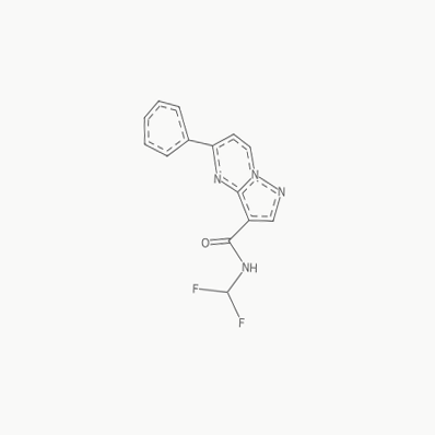 O=C(NC(F)F)c1cnn2ccc(-c3ccccc3)nc12